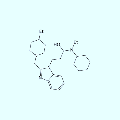 CCC1CCN(Cc2nc3ccccc3n2CCC(O)N(CC)C2CCCCC2)CC1